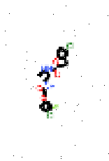 C/C=C(\CCNC(=O)COc1ccc(Cl)c(F)c1)NC(=O)[C@H]1CCc2cc(Cl)ccc2O1